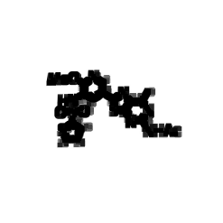 COc1ncc(-c2nc3c(C)nc(NC(C)=O)nc3s2)cc1NS(=O)(=O)c1cccs1